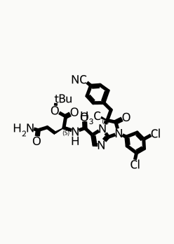 CC(C)(C)OC(=O)[C@H](CCC(N)=O)NC(=O)c1cnc2n1[C@](C)(Cc1ccc(C#N)cc1)C(=O)N2c1cc(Cl)cc(Cl)c1